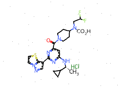 C[C@@H](Nc1cc(C(=O)N2CCC(N(CC(F)F)C(=O)O)CC2)nc(-c2cnn3ccsc23)n1)C1CC1.Cl